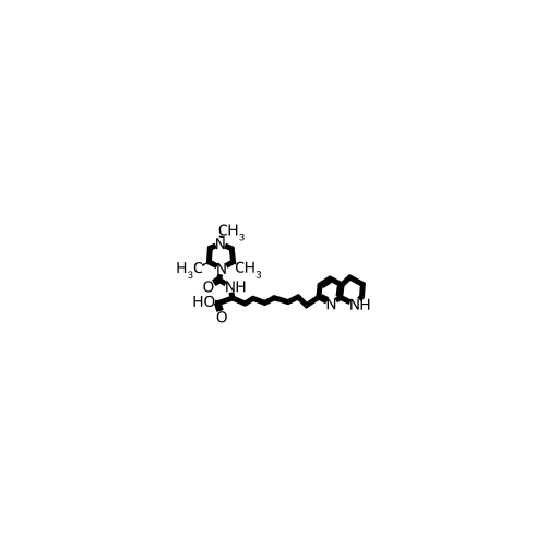 C[C@@H]1CN(C)C[C@H](C)N1C(=O)NC(CCCCCCCc1ccc2c(n1)NCCC2)C(=O)O